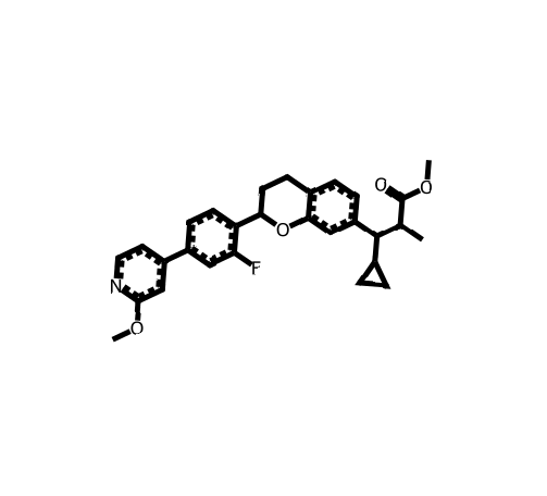 COC(=O)C(C)C(c1ccc2c(c1)OC(c1ccc(-c3ccnc(OC)c3)cc1F)CC2)C1CC1